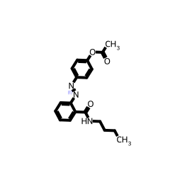 CCCCNC(=O)c1ccccc1/N=N/c1ccc(OC(C)=O)cc1